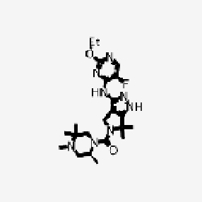 CCOc1ncc(F)c(Nc2n[nH]c3c2CN(C(=O)N2CC(C)(C)N(C)C[C@@H]2C)C3(C)C)n1